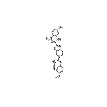 COc1ccc(N=C(NC#N)N2CCc3nc(C(=O)Nc4cc(OC)ccc4N)sc3C2)cc1